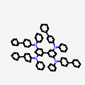 c1ccc(-c2ccc(N(c3ccccc3)c3cc(-c4cc(N(c5ccccc5)c5ccc(-c6ccccc6)cc5)cc(N(c5ccccc5)c5ccc(-c6ccccc6)cc5)c4)cc(N(c4ccccc4)c4ccc(-c5ccccc5)cc4)c3)cc2)cc1